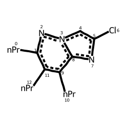 CCCc1nn2cc(Cl)nc2c(CCC)c1CCC